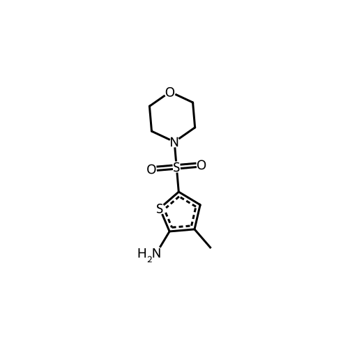 Cc1cc(S(=O)(=O)N2CCOCC2)sc1N